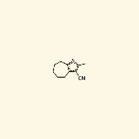 Cc1sc2c(c1C#N)CCCCC2